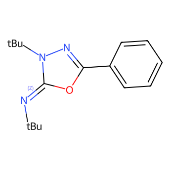 CC(C)(C)/N=c1\oc(-c2ccccc2)nn1C(C)(C)C